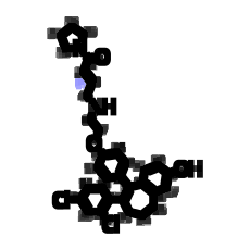 O=C(/C=C/CNCCOc1ccc(C2=C(c3ccc(Cl)cc3Cl)CCCc3cc(O)ccc32)cc1)N1CCCC1